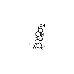 CC1(C)CC[C@]2(C(=O)O)CC[C@]3(C)C(=CC[C@@H]4[C@@]5(C)CC[C@H](O)C(C)(C)[C@@H]5CC[C@]43C)C2C1